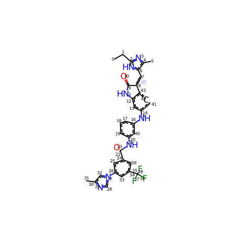 CCc1nc(C)c(/C=C2\C(=O)Nc3cc(Nc4cccc(NC(=O)c5cc(-n6cnc(C)c6)cc(C(F)(F)F)c5)c4)ccc32)[nH]1